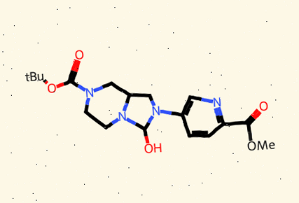 COC(=O)c1ccc(N2CC3CN(C(=O)OC(C)(C)C)CCN3C2O)cn1